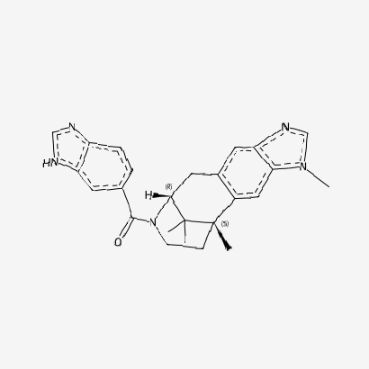 Cn1cnc2cc3c(cc21)[C@]1(C)CCN(C(=O)c2ccc4nc[nH]c4c2)[C@H](C3)C1(C)C